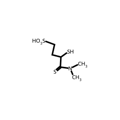 CN(C)C(=S)C(S)CCS(=O)(=O)O